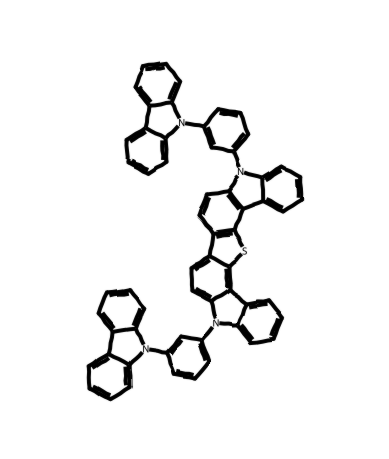 c1cc(-n2c3ccccc3c3ccccc32)cc(-n2c3ccccc3c3c4sc5c(ccc6c5c5ccccc5n6-c5cccc(-n6c7ccccc7c7ccccc76)c5)c4ccc32)c1